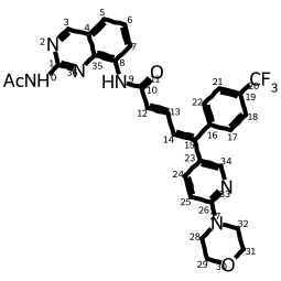 CC(=O)Nc1ncc2cccc(NC(=O)/C=C/C=C(\c3ccc(C(F)(F)F)cc3)c3ccc(N4CCOCC4)nc3)c2n1